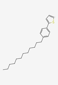 CCCCCCCCCCCCc1ccc(-c2cc[c]s2)cc1